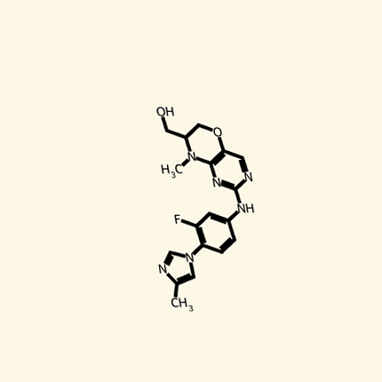 Cc1cn(-c2ccc(Nc3ncc4c(n3)N(C)C(CO)CO4)cc2F)cn1